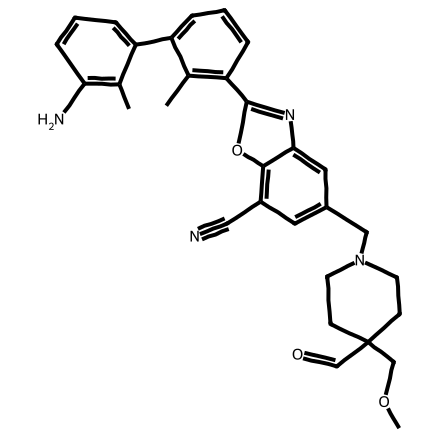 COCC1(C=O)CCN(Cc2cc(C#N)c3oc(-c4cccc(-c5cccc(N)c5C)c4C)nc3c2)CC1